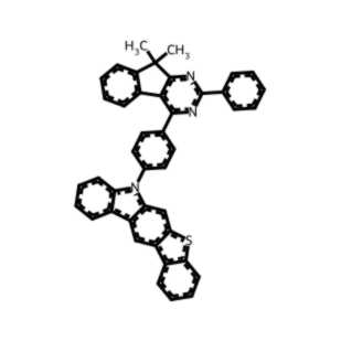 CC1(C)c2ccccc2-c2c(-c3ccc(-n4c5ccccc5c5cc6c(cc54)sc4ccccc46)cc3)nc(-c3ccccc3)nc21